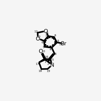 O=C1/C(=C\c2cc3c(cc2Br)OCO3)N2CCC1CC2